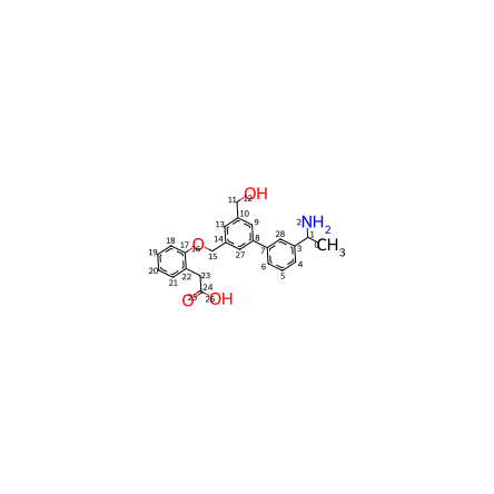 CC(N)c1cccc(-c2cc(CO)cc(COc3ccccc3CC(=O)O)c2)c1